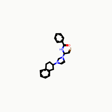 O=C(NC(C=S)N1C=CN(C2CCc3ccccc3C2)C1)c1ccccc1